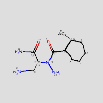 CC(=O)[C@@H]1CCCCC1C(=O)N(N)[C@H](CN)C(N)=O